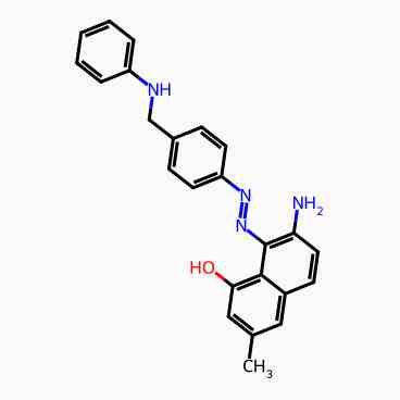 Cc1cc(O)c2c(/N=N/c3ccc(CNc4ccccc4)cc3)c(N)ccc2c1